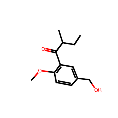 CCC(C)C(=O)c1cc(CO)ccc1OC